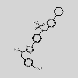 CN(Cc1ccc(C(=O)O)cc1)c1nc(-c2ccc(N(Cc3ccc(C4CCCCC4)cc3)S(C)(=O)=O)cc2)cs1